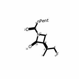 CCCCCC(=O)N1CC(=C(C)CF)C1=O